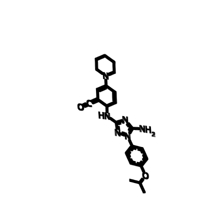 CC(C)Oc1ccc(-n2nc(NC3C=CC(N4CCCCC4)=CC3=C=O)nc2N)cc1